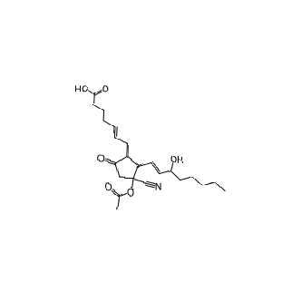 CCCCCC(O)C=CC1C(CC=CCCCC(=O)O)C(=O)CC1(C#N)OC(C)=O